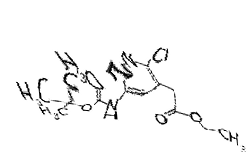 CCOC(=O)Cc1cc(NC(=O)OC(C)(C)C)nnc1Cl